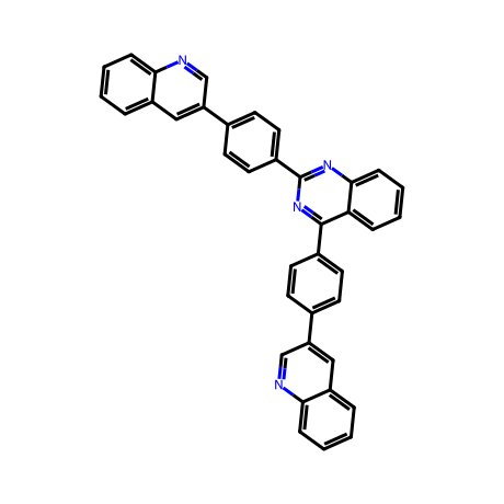 c1ccc2ncc(-c3ccc(-c4nc(-c5ccc(-c6cnc7ccccc7c6)cc5)c5ccccc5n4)cc3)cc2c1